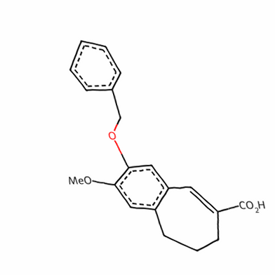 COc1cc2c(cc1OCc1ccccc1)C=C(C(=O)O)CCC2